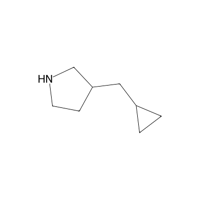 C1CC(CC2CC2)CN1